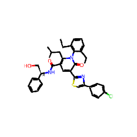 CCc1cccc(CC)c1-n1c(CC(C)C)c(C(=O)N[C@H](CO)c2ccccc2)cc(-c2nc(-c3ccc(Cl)cc3)cs2)c1=O